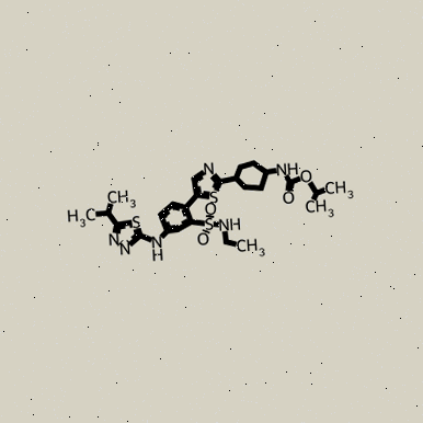 CCNS(=O)(=O)c1cc(Nc2nnc(C(C)C)s2)ccc1-c1cnc(C2CCC(NC(=O)OC(C)C)CC2)s1